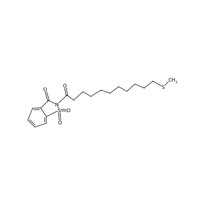 CSCCCCCCCCCCC(=O)N1C(=O)c2ccccc2S1(=O)=O